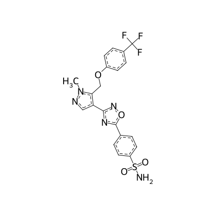 Cn1ncc(-c2noc(-c3ccc(S(N)(=O)=O)cc3)n2)c1COc1ccc(C(F)(F)F)cc1